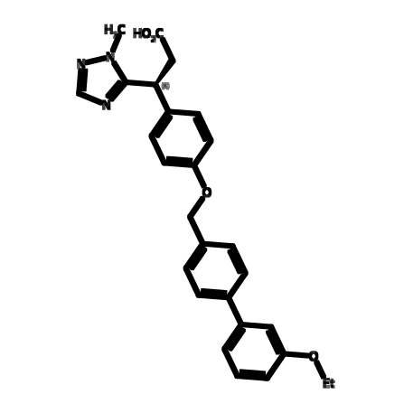 CCOc1cccc(-c2ccc(COc3ccc([C@H](CC(=O)O)c4ncnn4C)cc3)cc2)c1